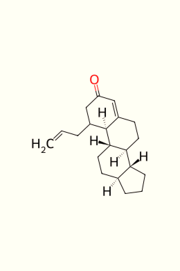 C=CCC1CC(=O)C=C2CC[C@H]3[C@@H]4CCC[C@H]4CC[C@@H]3[C@H]21